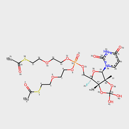 CC(C)(C)C(=O)SCCOCCOP(=O)(OCCOCCSC(=O)C(C)(C)C)OC[C@@]1(F)O[C@@H](n2ccc(=O)[nH]c2=O)[C@]2(C)OC(O)(O)O[C@@H]21